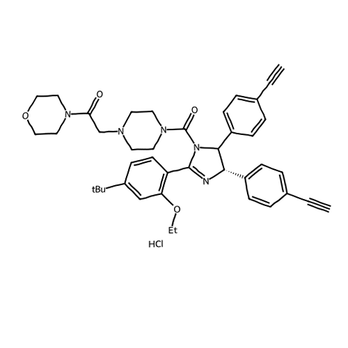 C#Cc1ccc(C2[C@H](c3ccc(C#C)cc3)N=C(c3ccc(C(C)(C)C)cc3OCC)N2C(=O)N2CCN(CC(=O)N3CCOCC3)CC2)cc1.Cl